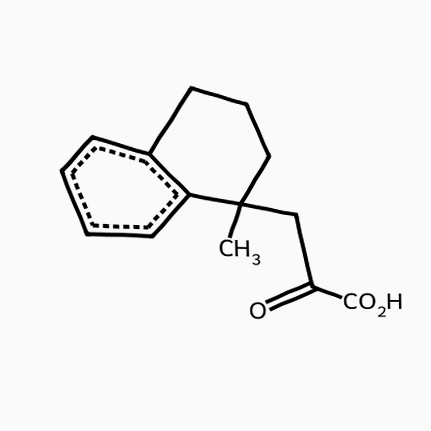 CC1(CC(=O)C(=O)O)CCCc2ccccc21